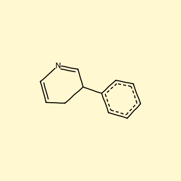 C1=CN=CC(c2ccccc2)C1